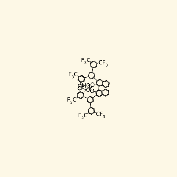 O=P1(O)Oc2c(-c3cc(-c4cc(C(F)(F)F)cc(C(F)(F)F)c4)cc(-c4cc(C(F)(F)F)cc(C(F)(F)F)c4)c3)cc3ccccc3c2-c2c(c(-c3cc(-c4cc(C(F)(F)F)cc(C(F)(F)F)c4)cc(-c4cc(C(F)(F)F)cc(C(F)(F)F)c4)c3)cc3ccccc23)O1